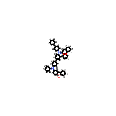 c1ccc(-c2ccc(N(c3ccc4ccccc4c3)c3ccc(-c4ccc(N(c5ccccc5)c5ccc6oc7ccccc7c6c5)cc4)cc3-c3ccccc3)cc2)cc1